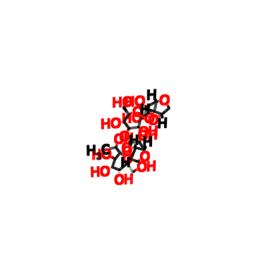 CC(O)[C@@]1(O[C@@H]2[C@H]3OC[C@@H]2O[C@@H](O[C@@H]2[C@@H](O)[C@H](O[C@@H]4[C@H]5OC[C@@H]4O[C@@H](O)[C@H]5O)O[C@H](CO)[C@H]2O)[C@H]3O)O[C@H](CO)[C@H](O)[C@H](O)[C@H]1O